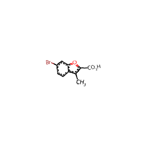 Cc1c(C(=O)O)oc2cc(Br)ccc12